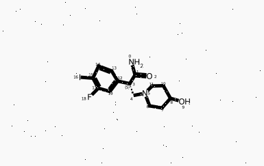 NC(=O)[C@H](CN1CCC(O)CC1)c1ccc(I)c(F)c1